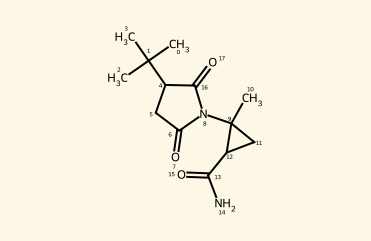 CC(C)(C)C1CC(=O)N(C2(C)CC2C(N)=O)C1=O